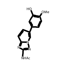 COc1ccc(-c2ccc3nc(NC(C)=O)nn3c2)cc1O